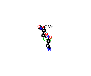 COC(=O)c1cc(F)c(-c2cccc3c2OCN(C(=O)c2c(Cl)cc(-c4ccc5c(cnn5C)c4)cc2Cl)C3)cc1N1C2CCC1COC2